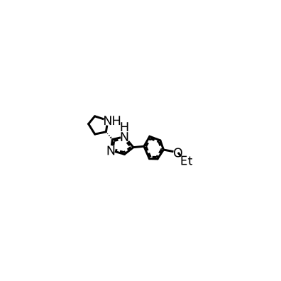 CCOc1ccc(-c2cnc([C@@H]3CCCN3)[nH]2)cc1